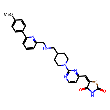 COc1ccc(-c2cccc(CNCC3CCN(c4nccc(C=C5SC(=O)NC5=O)n4)CC3)n2)cc1